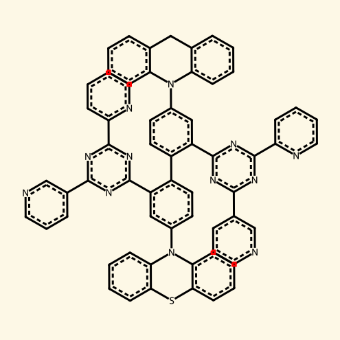 c1ccc(-c2nc(-c3cccnc3)nc(-c3cc(N4c5ccccc5Cc5ccccc54)ccc3-c3ccc(N4c5ccccc5Sc5ccccc54)cc3-c3nc(-c4cccnc4)nc(-c4ccccn4)n3)n2)nc1